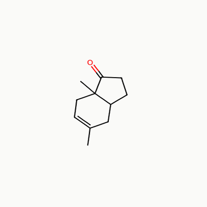 CC1=CCC2(C)C(=O)CCC2C1